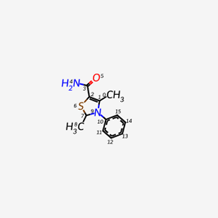 CC1=C(C(N)=O)SC(C)N1c1ccccc1